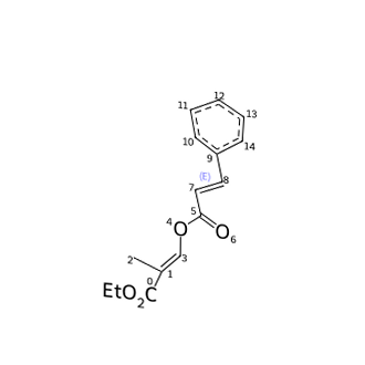 CCOC(=O)C(C)=COC(=O)/C=C/c1ccccc1